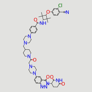 CC1(C)[C@H](NC(=O)c2ccc(N3CCN(CC4CCN(C(=O)CN5CCN(c6ccc7nnn(C8CCC(=O)NC8=O)c(=O)c7c6)CC5)CC4)CC3)cc2)C(C)(C)[C@H]1Oc1ccc(C#N)c(Cl)c1